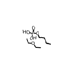 CCCCOP(=O)(O)O.CCOCC